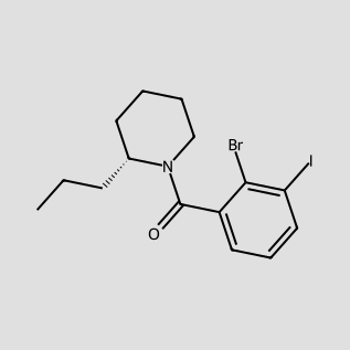 CCC[C@@H]1CCCCN1C(=O)c1cccc(I)c1Br